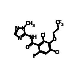 Cn1ncnc1NC(=O)c1c(F)cc(Cl)c(OCCC(F)(F)F)c1Cl